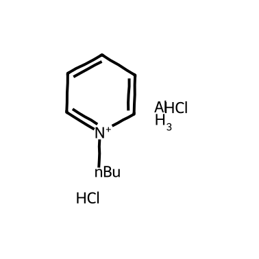 CCCC[n+]1ccccc1.Cl.Cl.[AlH3]